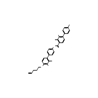 C=CCCCOc1ccc(-c2ccc(OC(=O)c3ccc(-c4ccc(C)cc4)c(F)c3F)cc2)c(F)c1F